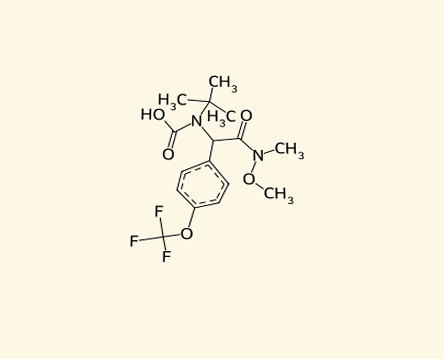 CON(C)C(=O)C(c1ccc(OC(F)(F)F)cc1)N(C(=O)O)C(C)(C)C